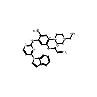 C=CC(=O)Nc1cc(Nc2nccc(-n3ccc4ccccc43)n2)c(OC)cc1N1CCN(CC(C)C)CC1